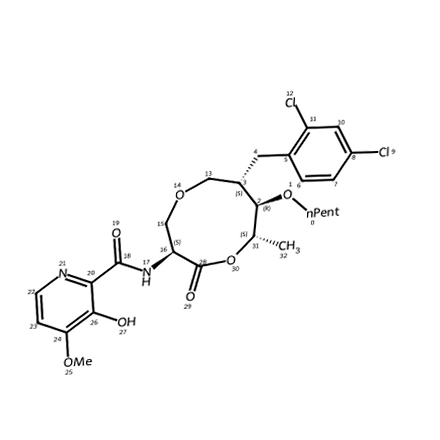 CCCCCO[C@@H]1[C@@H](Cc2ccc(Cl)cc2Cl)COC[C@H](NC(=O)c2nccc(OC)c2O)C(=O)O[C@H]1C